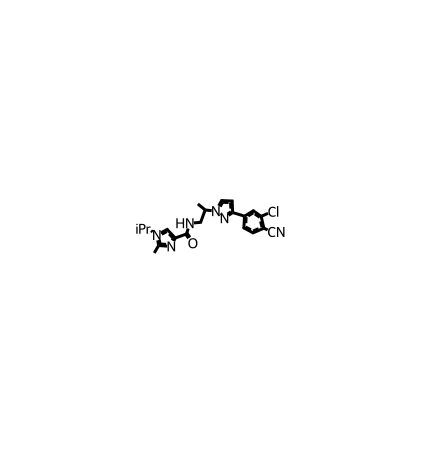 Cc1nc(C(=O)NCC(C)n2ccc(-c3ccc(C#N)c(Cl)c3)n2)cn1C(C)C